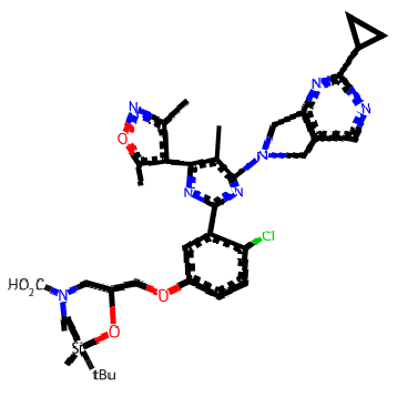 Cc1noc(C)c1-c1nc(-c2cc(OCC(CN(C)C(=O)O)O[Si](C)(C)C(C)(C)C)ccc2Cl)nc(N2Cc3cnc(C4CC4)nc3C2)c1C